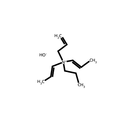 C=CC[N+](C=CC)(C=CC)CCC.[OH-]